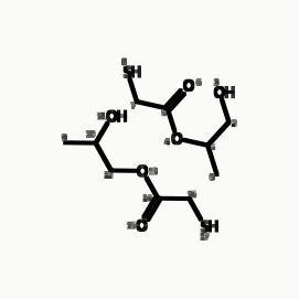 CC(CO)OC(=O)CS.CC(O)COC(=O)CS